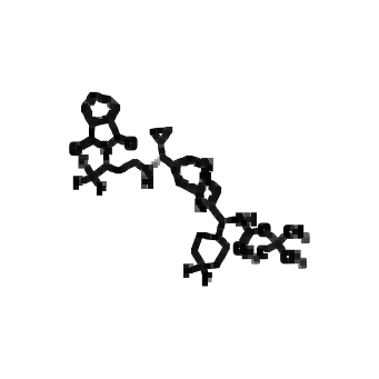 CC(C)(C)OC(=O)N[C@H](c1cn2ncc([C@H](NCCC(N3C(=O)c4ccccc4C3=O)C(F)(F)F)C3CC3)cc2n1)C1CCC(F)(F)CC1